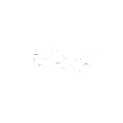 Fc1cnc(Nc2ccc3ncccc3c2)nc1-c1ccccc1